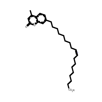 Cc1cc(=O)oc2cc(CCCCCCCC/C=C\CCCCCCCC(=O)O)ccc12